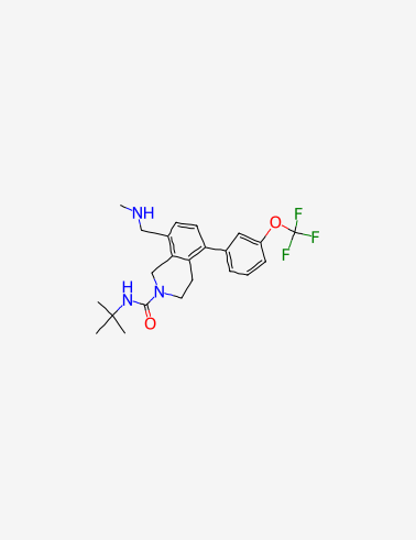 CNCc1ccc(-c2cccc(OC(F)(F)F)c2)c2c1CN(C(=O)NC(C)(C)C)CC2